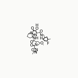 CO[C@H]1CC(C(=O)NC23CCC(CC2)Cn2c3nc(C(=O)NCc3ccc(F)c(C)c3)c(O)c2=O)N(C(=O)c2nnc(C)o2)C1